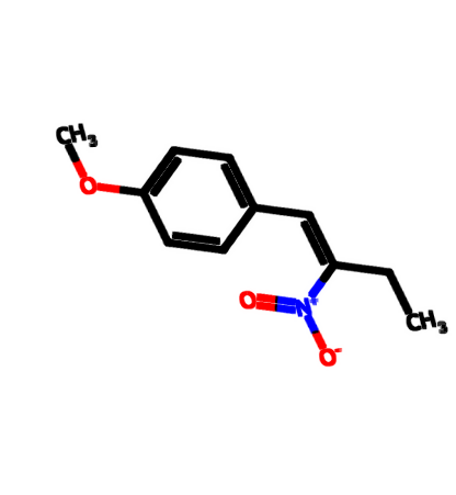 CCC(=Cc1ccc(OC)cc1)[N+](=O)[O-]